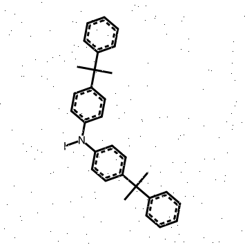 CC(C)(c1ccccc1)c1ccc(N(I)c2ccc(C(C)(C)c3ccccc3)cc2)cc1